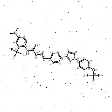 CN(C)c1ccc(NC(=S)N/N=C/c2ccc(-c3ncn(-c4ccc(OC(F)(F)F)cc4)n3)cc2)c(C(F)(F)F)c1